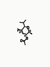 CC(=O)O[C@@H]1C[C@@H](I)C(C(C)C)O[C@H]1C